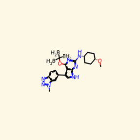 BC(B)(B)Oc1nc(N[C@H]2CC[C@@H](OC)CC2)nc2[nH]cc(-c3ccc4nnn(C)c4c3)c12